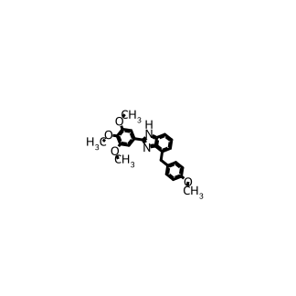 COc1ccc(Cc2cccc3[nH]c(-c4cc(OC)c(OC)c(OC)c4)nc23)cc1